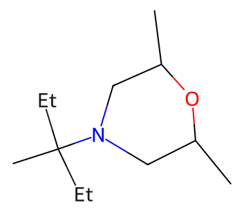 CCC(C)(CC)N1CC(C)OC(C)C1